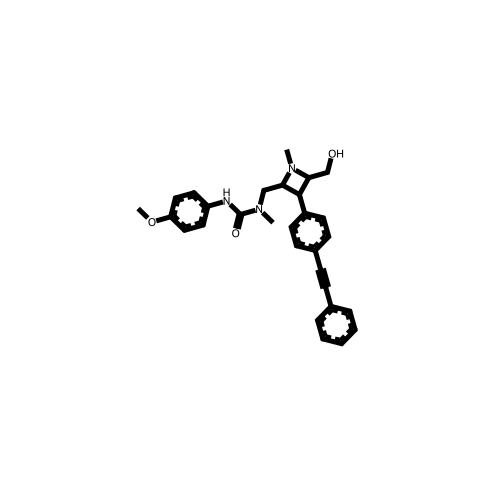 COc1ccc(NC(=O)N(C)CC2C(c3ccc(C#Cc4ccccc4)cc3)C(CO)N2C)cc1